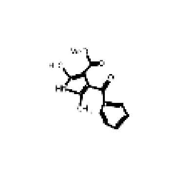 COC(=O)c1c(C)[nH]c(C)c1C(=O)c1ccccc1